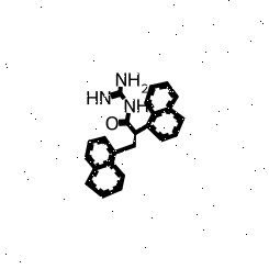 N=C(N)NC(=O)[C@H](Cc1cccc2ccccc12)c1cccc2ccccc12